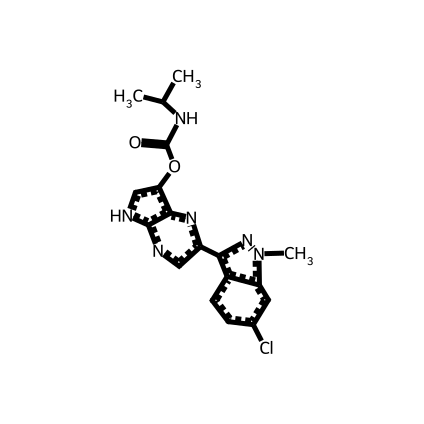 CC(C)NC(=O)Oc1c[nH]c2ncc(-c3nn(C)c4cc(Cl)ccc34)nc12